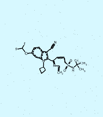 C=C/N=C(\C=C/CS(=O)(=O)NC(C)(C)C)c1c(C#N)c2ccc(OC(F)F)cc2n1C1CCC1